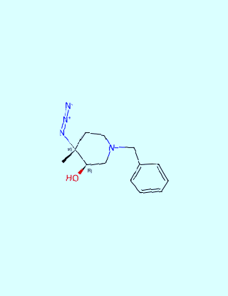 C[C@@]1(N=[N+]=[N-])CCN(Cc2ccccc2)C[C@H]1O